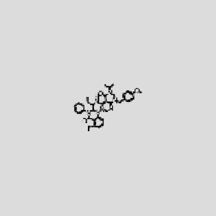 CCC(Nc1ncnc2c1C(=O)N(C(C)C)CN2Cc1ccc(OC)cc1)c1nc2cccc(F)c2c(=O)n1-c1ccccc1